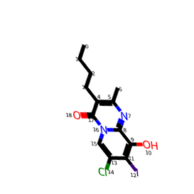 CCCCc1c(C)nc2c(O)c(I)c(Cl)cn2c1=O